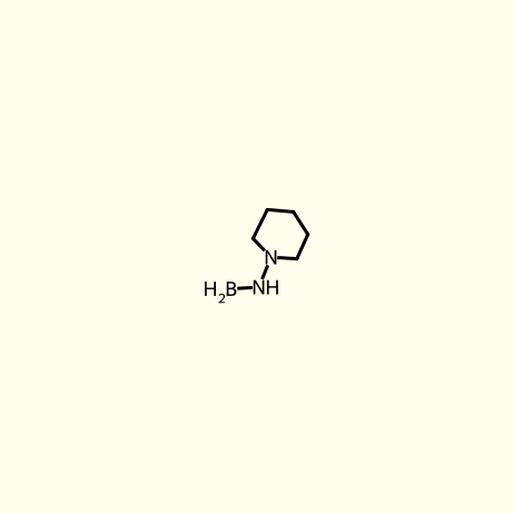 BNN1CCCCC1